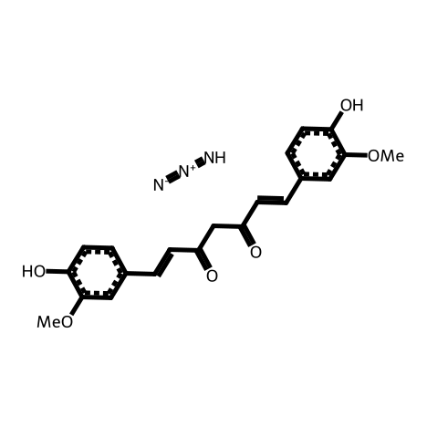 COc1cc(C=CC(=O)CC(=O)C=Cc2ccc(O)c(OC)c2)ccc1O.[N-]=[N+]=N